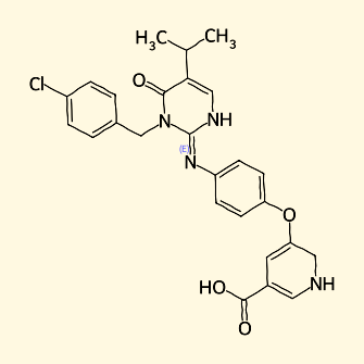 CC(C)c1c[nH]/c(=N\c2ccc(OC3=CC(C(=O)O)=CNC3)cc2)n(Cc2ccc(Cl)cc2)c1=O